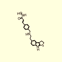 O=C(/C=C/c1ccc(CNCCc2ccc3[nH]c4c(c3c2)CCS4)cc1)NO